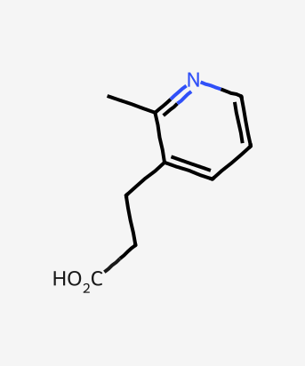 Cc1ncccc1CCC(=O)O